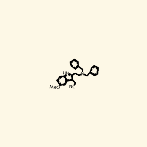 COc1ccc2[nH]c(CCN(Cc3ccccc3)Cc3ccccc3)c(CC#N)c2c1